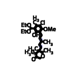 CCOC(OCC)c1c(C)c(Cl)c(OC)c(C/C=C(C)/C=C/[C@@]2(C)[C@H](C)OCC(=O)[C@@H]2C)c1O